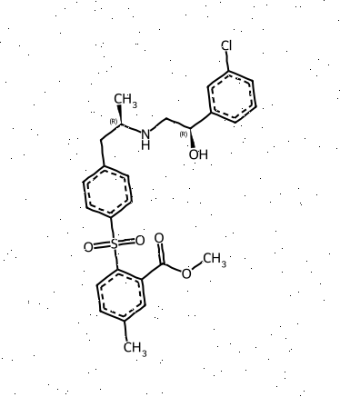 COC(=O)c1cc(C)ccc1S(=O)(=O)c1ccc(C[C@@H](C)NC[C@H](O)c2cccc(Cl)c2)cc1